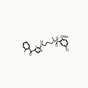 COc1ccc(Cl)cc1S(=O)(=O)N(C)CCCNc1ncc(C(=O)c2ccccc2C)s1